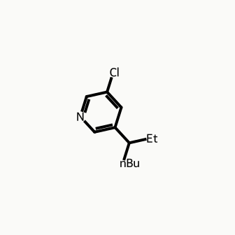 CCCCC(CC)c1cncc(Cl)c1